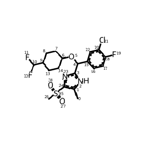 Cc1[nH]c(C(OC2CCC(C(F)F)CC2)c2ccc(F)c(Cl)c2)nc1S(C)(=O)=O